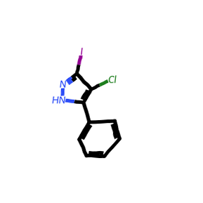 Clc1c(I)n[nH]c1-c1ccccc1